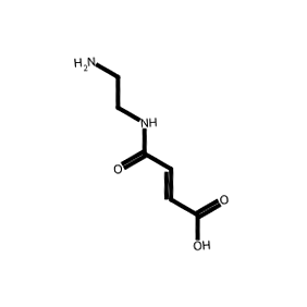 NCCNC(=O)/C=C/C(=O)O